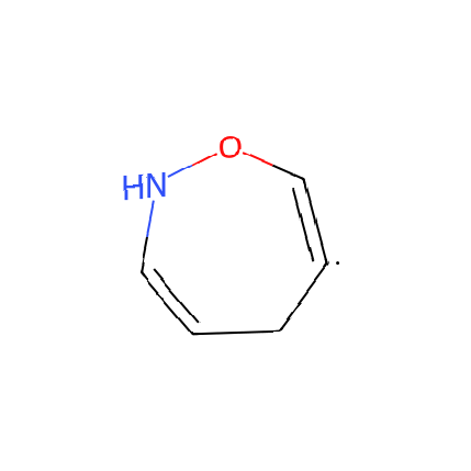 [C]1=CONC=CC1